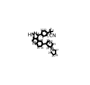 CC(C)(C#N)c1ccc(-c2n[nH]c3cnc4ccc(-c5cncc(N6CCCC6)c5)cc4c23)cc1